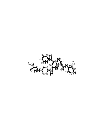 COC(=O)CNC1CCC(Nc2cc(Nc3ccccn3)c3ncc(C(=O)Nc4ccncc4F)n3n2)CC1